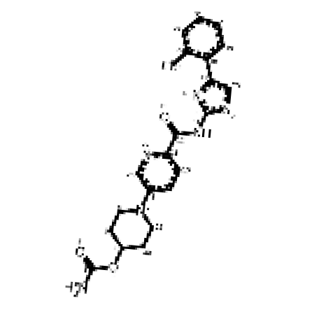 NC(=O)OC1CCN(c2ccc(C(=O)Nc3nc(-c4ccccc4Cl)cs3)nc2)CC1